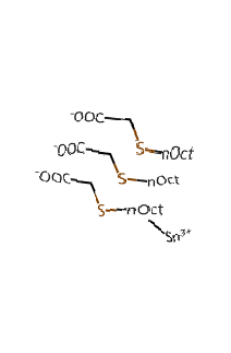 CCCCCCCCSCC(=O)[O-].CCCCCCCCSCC(=O)[O-].CCCCCCCCSCC(=O)[O-].[CH3][Sn+3]